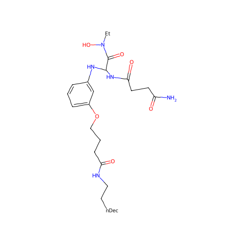 CCCCCCCCCCCCNC(=O)CCCOc1cccc(NC(NC(=O)CCC(N)=O)C(=O)N(O)CC)c1